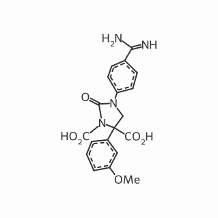 COc1cccc(C2(C(=O)O)CN(c3ccc(C(=N)N)cc3)C(=O)N2C(=O)O)c1